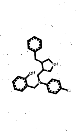 Oc1ccccc1CN(CC1CNCC1Cc1ccccc1)c1ccc(Cl)cc1